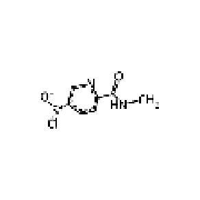 CNC(=O)c1ccc([S+]([O-])Cl)cn1